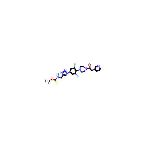 COC(=S)NCc1cn(-c2cc(F)c(N3CCN(C(=O)Cc4cccnc4)CC3)c(F)c2)nn1